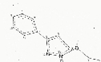 CCOc1cc(-c2ccccc2)n[nH]1